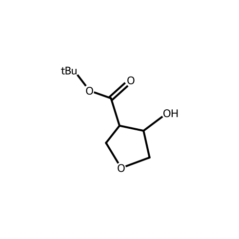 CC(C)(C)OC(=O)C1COCC1O